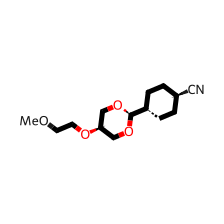 COCCO[C@H]1CO[C@H]([C@H]2CC[C@H](C#N)CC2)OC1